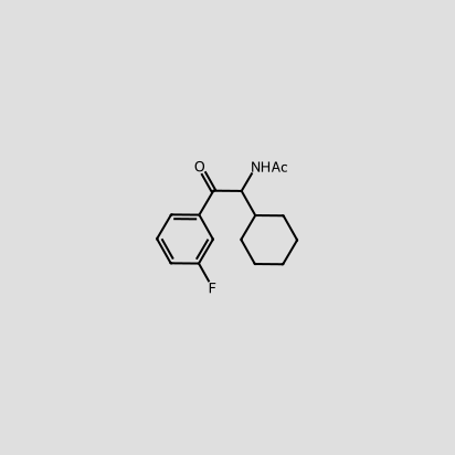 CC(=O)NC(C(=O)c1cccc(F)c1)C1CCCCC1